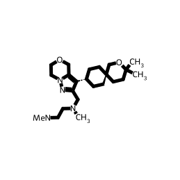 CNCCN(C)Cc1nn2c(c1[C@H]1CC[C@@]3(CCC(C)(C)OC3)CC1)COCC2